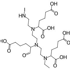 CCN(CCN(CCN(CCNI)C(CCCC(=O)O)C(=O)O)C(C=O)CCCC(=O)O)C(CCCC(=O)O)C(=O)O